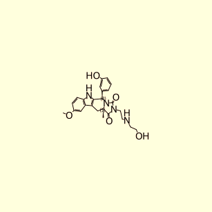 COc1ccc2[nH]c3c(c2c1)C[C@@]1(C)C(=O)N(CCNCCO)C(=O)N1[C@@H]3c1cccc(O)c1